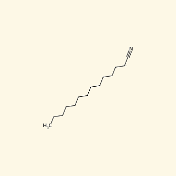 CCCCCCCCCCCC[CH]C#N